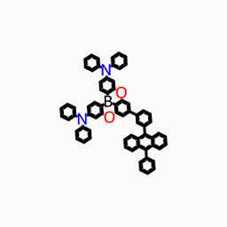 c1ccc(-c2c3ccccc3c(-c3cccc(-c4cc5c6c(c4)Oc4cc(N(c7ccccc7)c7ccccc7)ccc4B6c4ccc(N(c6ccccc6)c6ccccc6)cc4O5)c3)c3ccccc23)cc1